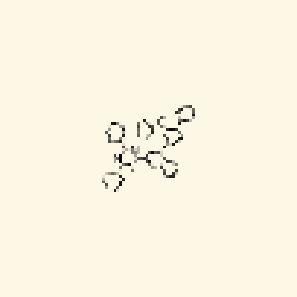 c1ccc(-c2nc(-c3ccccc3)nc(-c3cc(-c4ccc(-c5ccccc5)c5oc6ccccc6c45)c4ccccc4c3)n2)cc1